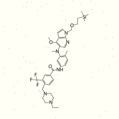 CCN1CCN(Cc2ccc(C(=O)Nc3ccc(C)c(N(C)c4cnc5c(ccn5COCC[Si](C)(C)C)c4OC)c3)cc2C(F)(F)F)CC1